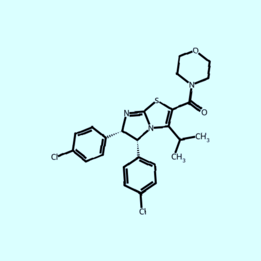 CC(C)C1=C(C(=O)N2CCOCC2)SC2=N[C@@H](c3ccc(Cl)cc3)[C@@H](c3ccc(Cl)cc3)N21